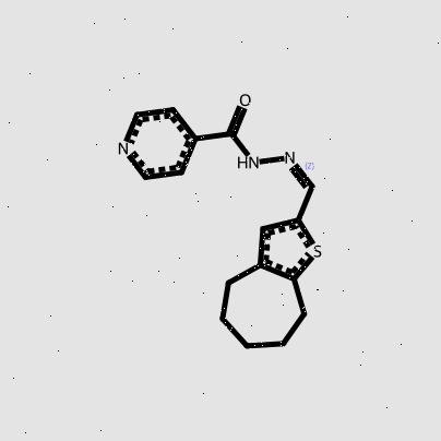 O=C(N/N=C\c1cc2c(s1)CCCCC2)c1ccncc1